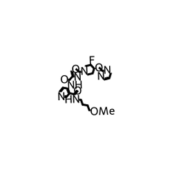 COCCCCNC(=O)c1cnccc1NC(=O)c1coc(N2CC[C@@H](Oc3ncccn3)[C@@H](F)C2)n1